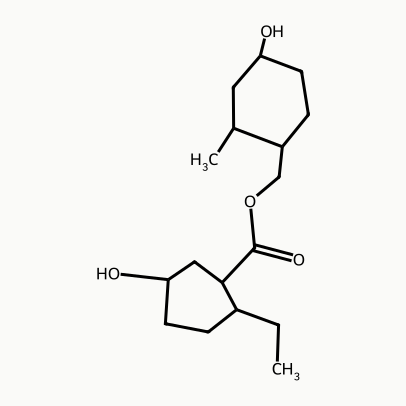 CCC1CCC(O)CC1C(=O)OCC1CCC(O)CC1C